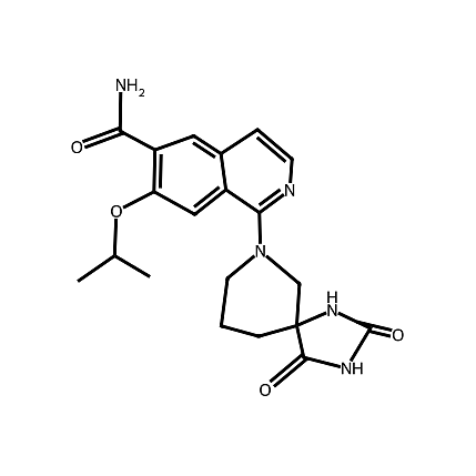 CC(C)Oc1cc2c(N3CCCC4(C3)NC(=O)NC4=O)nccc2cc1C(N)=O